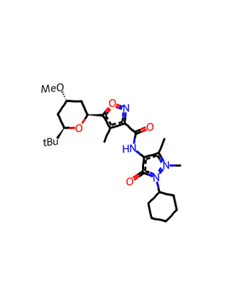 CO[C@@H]1C[C@@H](c2onc(C(=O)Nc3c(C)n(C)n(C4CCCCC4)c3=O)c2C)O[C@@H](C(C)(C)C)C1